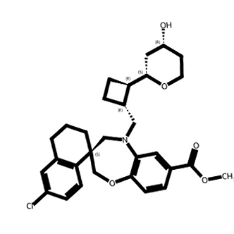 COC(=O)c1ccc2c(c1)N(C[C@@H]1CC[C@H]1[C@@H]1C[C@H](O)CCO1)C[C@@]1(CCCc3cc(Cl)ccc31)CO2